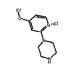 CCOc1ccnc(N2CCNCC2)c1.Cl